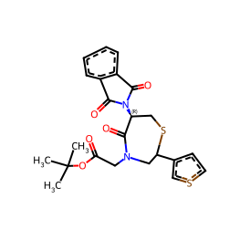 CC(C)(C)OC(=O)CN1CC(c2ccsc2)SC[C@H](N2C(=O)c3ccccc3C2=O)C1=O